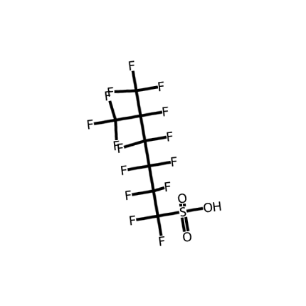 O=S(=O)(O)C(F)(F)C(F)(F)C(F)(F)C(F)(F)C(F)(C(F)(F)F)C(F)(F)F